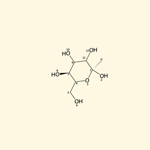 C[C@]1(O)OC(CO)[C@@H](O)C(O)C1O